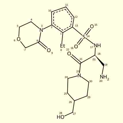 CCc1c(N2CCOCC2=O)cccc1S(=O)(=O)N[C@@H](CN)C(=O)N1CCC(CO)CC1